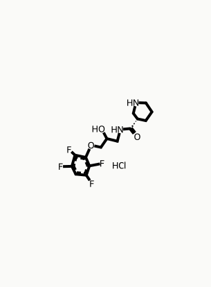 Cl.O=C(NCC(O)COc1c(F)c(F)cc(F)c1F)[C@H]1CCCNC1